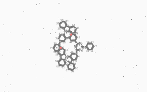 CC1(c2ccc(-c3nc(-c4ccccc4)nc(-c4cccc(-c5cc(-c6ccccc6)ccc5-n5c6ccccc6c6ccccc65)c4)n3)cc2-n2c3ccccc3c3ccccc32)C=CC=CC1